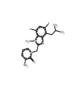 CC(C)Cc1c(F)cc(F)c2c1nc(Cn1cccc(N)c1=O)n2C